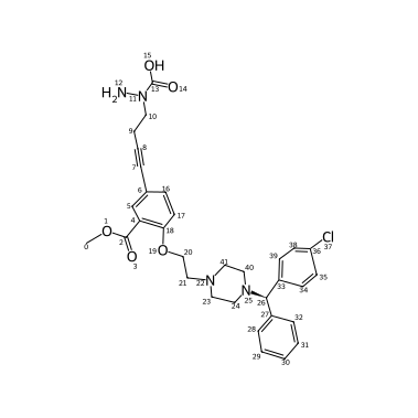 COC(=O)c1cc(C#CCCN(N)C(=O)O)ccc1OCCN1CCN([C@H](c2ccccc2)c2ccc(Cl)cc2)CC1